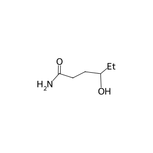 CCC(O)CCC(N)=O